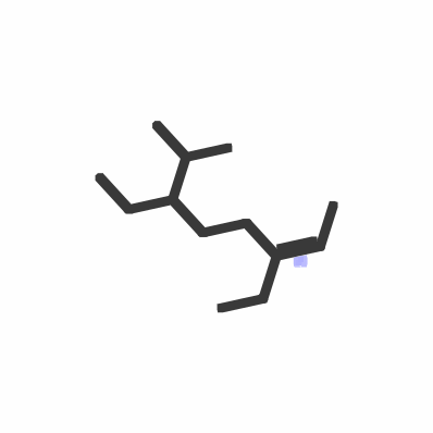 C/C=C(/CC)CCC(CC)C(C)C